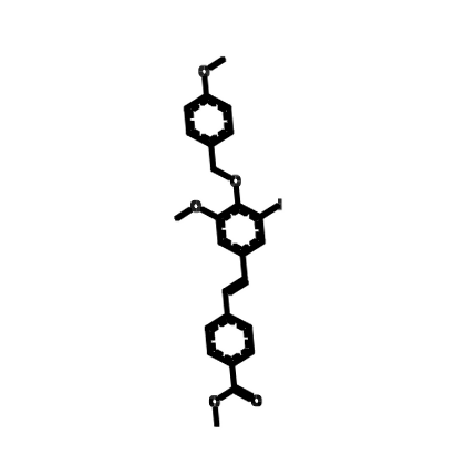 COC(=O)c1ccc(C=Cc2cc(I)c(OCc3ccc(OC)cc3)c(OC)c2)cc1